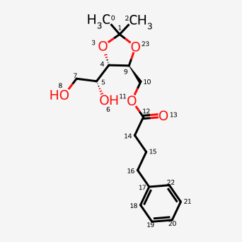 CC1(C)O[C@@H]([C@H](O)CO)[C@H](COC(=O)CCCc2ccccc2)O1